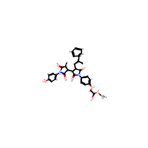 CC(CC1C(=O)N(c2ccc(OCC(=O)OC(C)(C)C)cc2)C(=O)C1C1C(=O)N(c2ccc(O)cc2)C(=O)C1C)c1ccccc1